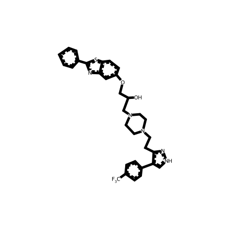 OC(COc1ccc2sc(-c3ccccc3)nc2c1)CN1CCN(CCc2n[nH]cc2-c2ccc(C(F)(F)F)cc2)CC1